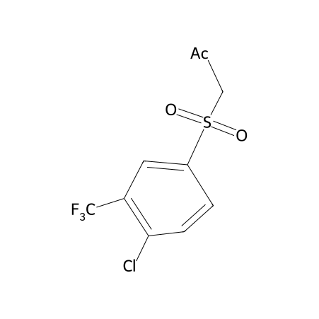 CC(=O)CS(=O)(=O)c1ccc(Cl)c(C(F)(F)F)c1